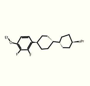 CCC[C@H]1CC[C@H]([C@H]2CC[C@H](c3ccc(OCC)c(F)c3F)CC2)CC1